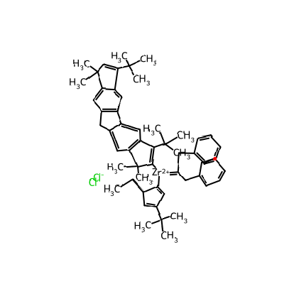 CCC1C=C(C(C)(C)C)C=[C]1[Zr+2]([C]1=C(C(C)(C)C)c2cc3c(cc2C1(C)C)Cc1cc2c(cc1-3)C(C(C)(C)C)=CC2(C)C)=[C](Cc1ccccc1)Cc1ccccc1.[Cl-].[Cl-]